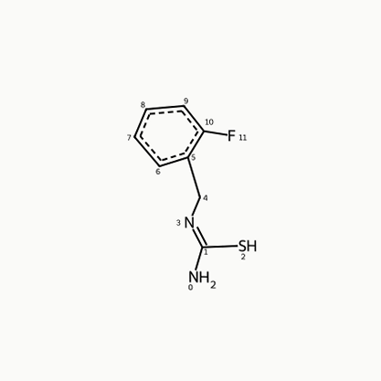 NC(S)=NCc1ccccc1F